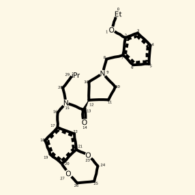 CCOc1ccccc1CN1CC[C@@H](C(=O)N(Cc2ccc3c(c2)OCCCO3)CC(C)C)C1